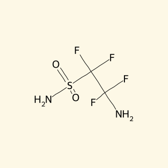 NC(F)(F)C(F)(F)S(N)(=O)=O